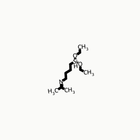 CCO[SiH](CCCCN=C(C)C)OCC